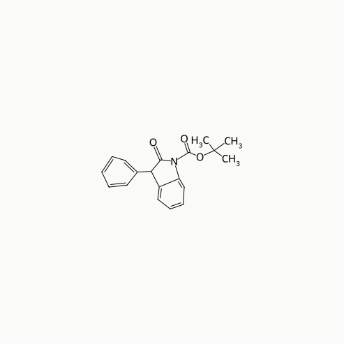 CC(C)(C)OC(=O)N1C(=O)C(c2ccccc2)c2ccccc21